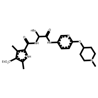 CCCCC(NC(=O)c1[nH]c(C)c(C(=O)OCC)c1C)C(=O)Nc1ccc(OC2CCN(C)CC2)nc1